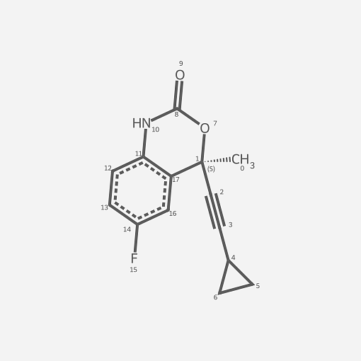 C[C@@]1(C#CC2CC2)OC(=O)Nc2ccc(F)cc21